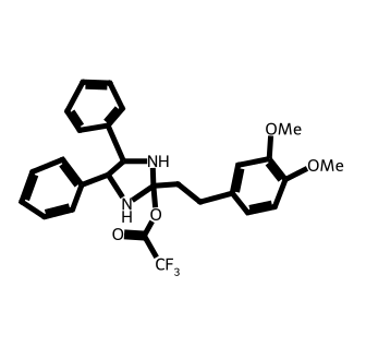 COc1ccc(CCC2(OC(=O)C(F)(F)F)NC(c3ccccc3)C(c3ccccc3)N2)cc1OC